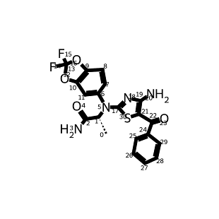 C[C@H](C(N)=O)N(c1ccc2c(c1)OC(F)(F)O2)c1nc(N)c(C(=O)c2ccccc2)s1